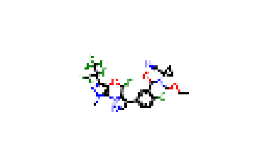 CCOCN(C(=O)c1cc(-c2cnn3c2C(F)Oc2c(C(F)(C(F)(F)F)C(F)(F)F)nn(C)c2-3)ccc1Cl)C1(C#N)CC1